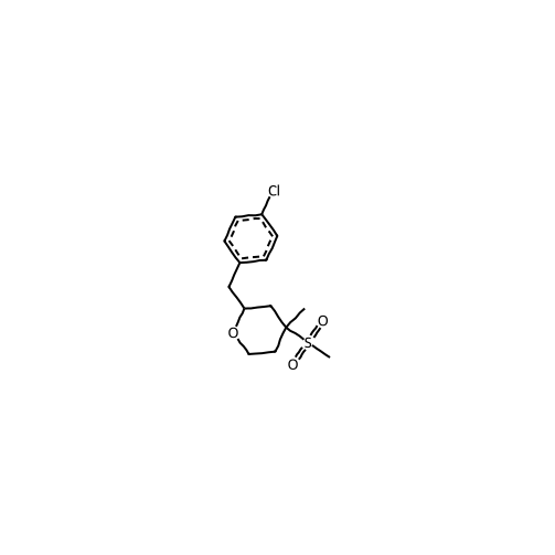 CC1(S(C)(=O)=O)CCOC(Cc2ccc(Cl)cc2)C1